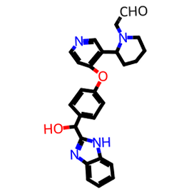 O=CCN1CCCCC1c1cnccc1Oc1ccc(C(O)c2nc3ccccc3[nH]2)cc1